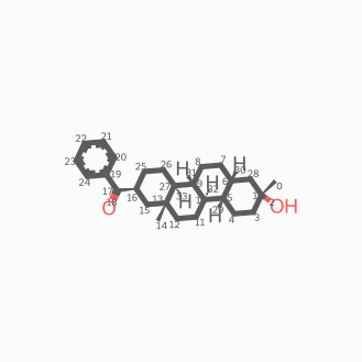 C[C@@]1(O)CC[C@H]2[C@H](CC[C@@H]3[C@@H]2CC[C@]2(C)C[C@@H](C(=O)c4ccccc4)CC[C@@H]32)C1